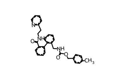 Cc1ccc(COC(=O)NCc2ccccc2-c2ccccc2C(=O)NCCc2ccccn2)cc1